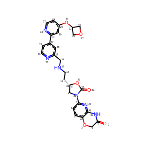 O=C1COc2ccc(N3C[C@H](CCNCc4cc(-c5cc(OC6COC6)ccn5)ccn4)OC3=O)nc2N1